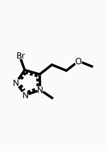 COCCc1c(Br)nnn1C